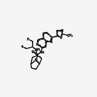 Cc1ncc(-c2ccc3cnc(NC(=O)N4C5CCC4CC(NC(CF)CF)C5)cc3n2)o1